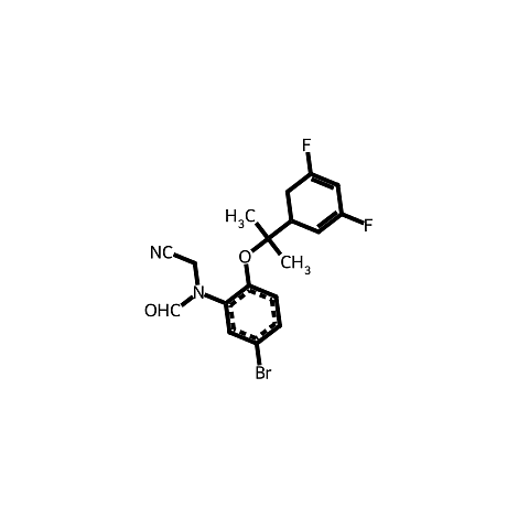 CC(C)(Oc1ccc(Br)cc1N(C=O)CC#N)C1C=C(F)C=C(F)C1